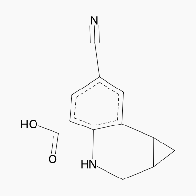 N#Cc1ccc2c(c1)C1CC1CN2.O=CO